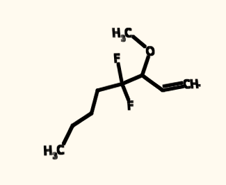 [CH]=CC(OC)C(F)(F)CCCC